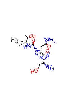 CC(O)[C@H](NC(=O)N[C@@H](CC(N)=O)c1nc([C@@H](N)CCO)no1)C(=O)O